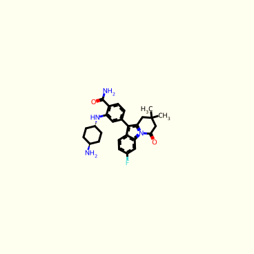 CC1(C)CC(=O)n2c(c(-c3ccc(C(N)=O)c(N[C@H]4CC[C@H](N)CC4)c3)c3ccc(F)cc32)C1